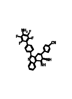 N#Cc1ccc(C2=Cc3c(-c4ccc(-c5c(F)c(F)c(N)c(F)c5F)cc4)nc4ccccc4c3C(=N)C2=N)cc1